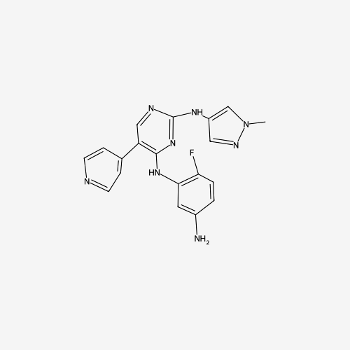 Cn1cc(Nc2ncc(-c3ccncc3)c(Nc3cc(N)ccc3F)n2)cn1